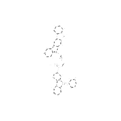 CC1(C)c2ccccc2-c2cc3c4ccccc4n(/C=N/C=C\C(N)c4ccc5c6ccccc6n(-c6ccccc6)c5c4)c3cc21